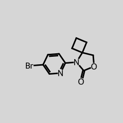 O=C1OCC2(CCC2)N1c1ccc(Br)cn1